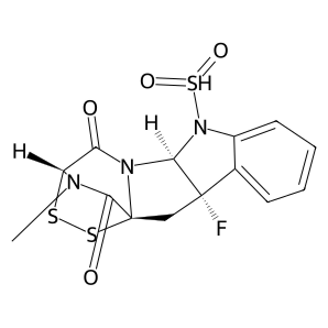 CN1C(=O)[C@]23C[C@]4(F)c5ccccc5N([SH](=O)=O)[C@@H]4N2C(=O)[C@H]1SS3